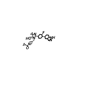 O=C(C1CC1)N1CC(CN2C(c3ccc(-c4ccc5[nH]ncc5c4)c(F)c3)=NC3(CC3)C2O)C1